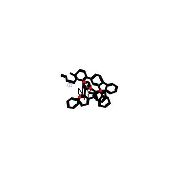 C=C/C=C\c1c(C)ccc(-c2ccc3c(c2)C2(c4ccccc4-3)c3ccccc3-c3c2c2ccccc2c2ccccc32)c1-c1nc(-c2ccccc2)nc(-c2ccccc2)n1